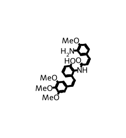 COc1ccc(/C=C\C(=O)Nc2c(O)cccc2/C=C\c2cc(OC)c(OC)c(OC)c2)cc1N